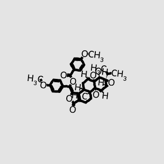 COc1ccc(C(=O)O/C(=C2/OC(=O)C3=C2[C@@H]2C[C@@H]4O[C@@]45[C@H](O)[C@@]4(C(C)C)O[C@H]4[C@@H]4O[C@@]45[C@@]2(C)CC3)c2ccc(OC)cc2)cc1